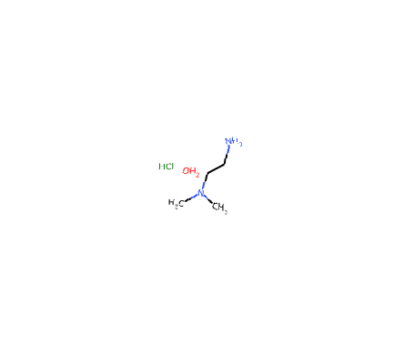 CN(C)CCN.Cl.O